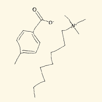 CCCCCCCC[N+](C)(C)C.Cc1ccc(C(=O)[O-])cc1